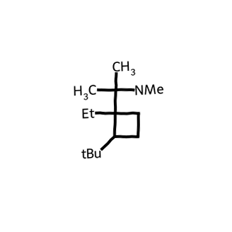 CCC1(C(C)(C)NC)CCC1C(C)(C)C